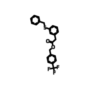 O=C(Cc1cccc(SCc2ccccc2)c1)OCc1ccc(C(F)(F)F)cc1